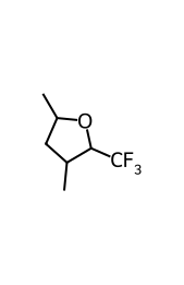 CC1CC(C)C(C(F)(F)F)O1